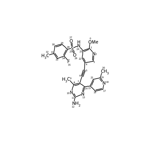 COc1ncc(C#Cc2c(C)nc(N)nc2-c2ccnc(C)c2)cc1NS(=O)(=O)c1ccc(C)cc1F